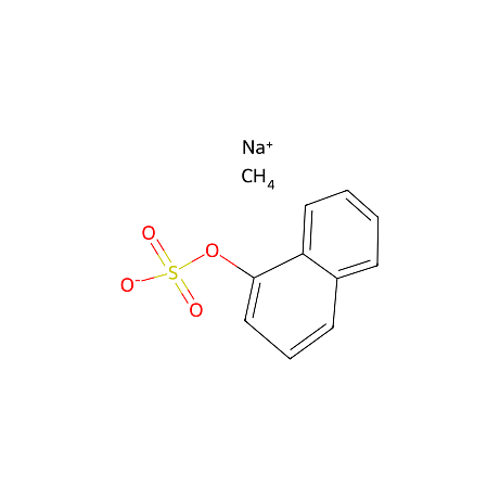 C.O=S(=O)([O-])Oc1cccc2ccccc12.[Na+]